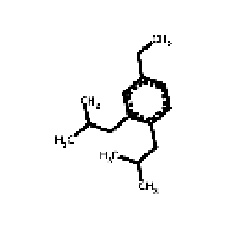 [CH2]Cc1ccc(CC(C)C)c(CC(C)C)c1